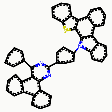 c1ccc(-c2nc(-c3ccc(-n4c5ccccc5c5c6ccccc6c6c7ccccc7sc6c54)cc3)nc3c4ccccc4c4ccccc4c23)cc1